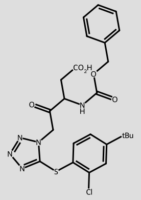 CC(C)(C)c1ccc(Sc2nnnn2CC(=O)C(CC(=O)O)NC(=O)OCc2ccccc2)c(Cl)c1